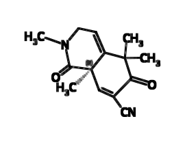 CN1CC=C2C(C)(C)C(=O)C(C#N)=C[C@@]2(C)C1=O